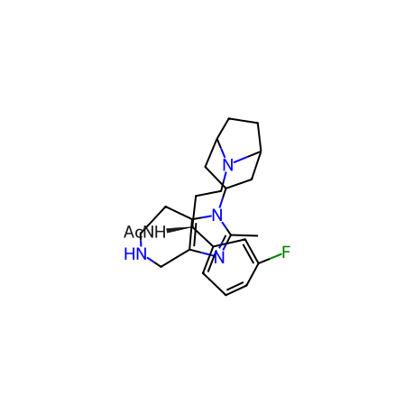 CC(=O)N[C@@H](CCN1C2CCC1CC(n1c(C)nc3c1CCNC3)C2)c1cccc(F)c1